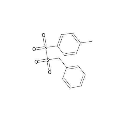 Cc1ccc(S(=O)(=O)S(=O)(=O)Cc2ccccc2)cc1